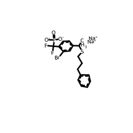 CC(SCCCc1ccccc1)c1ccc(C(F)(F)P(=O)([O-])[O-])c(Br)c1.[Na+].[Na+]